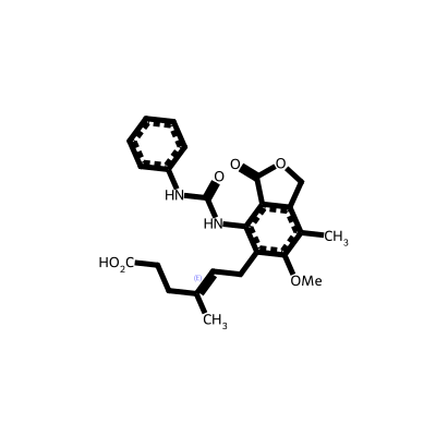 COc1c(C)c2c(c(NC(=O)Nc3ccccc3)c1C/C=C(\C)CCC(=O)O)C(=O)OC2